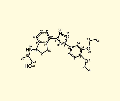 CCOc1ccc(-c2nc(-c3cccc4c3CCC4NC(C)CO)no2)cc1OCC